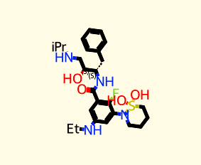 CCNc1cc(C(=O)N[C@@H](Cc2ccccc2)[C@@H](O)CNC(C)C)c(F)c(N2CCCCS2(O)O)c1